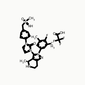 Cc1cc(-n2nc3c(c2-n2ccn(-c4ccc(CS(C)(=N)=O)cc4)c2=O)[C@H](C)NCC3)cc(C)c1F.O=C(O)C(F)(F)F